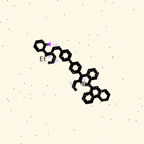 C\C=C/C(/C=C\c1ccc(-c2ccc(/C(=C(\C=C/C)C(C)CC)c3ccccc3C(C)c3cc4c(c5ccccc35)CCC=C4)cc2)cc1)=C(\CC)C1C=CC=CC1I